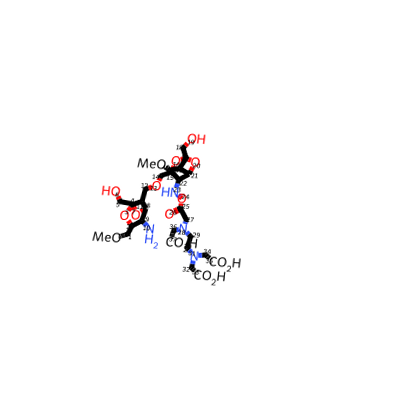 COCC1OC2(CO)OC(C1N)C2COCC1OC2(CO)OC(C1NOC(=O)CN(CCN(CC(=O)O)CC(=O)O)CC(=O)O)C2COC